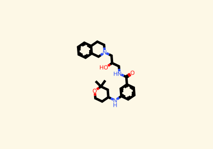 CC1(C)CC(Nc2cccc(C(=O)NCC(O)CN3CCc4ccccc4C3)c2)CCO1